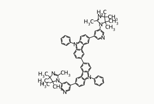 CC1=NC(C)(C)C(C)(C)N1c1cncc(-c2ccc3c(c2)c2cc(-c4ccc5c(c4)c4cc(-c6cncc(N7C(C)=NC(C)(C)C7(C)C)c6)ccc4n5-c4ccccc4)ccc2n3-c2ccccc2)c1